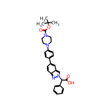 CC(C)(C)OC(=O)N1CCN(c2ccc(-c3ccc4nn(C(C(=O)O)c5ccccc5)cc4c3)cc2)CC1